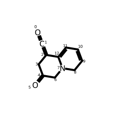 O=C=C1CC(=O)CN2CC=CC=C12